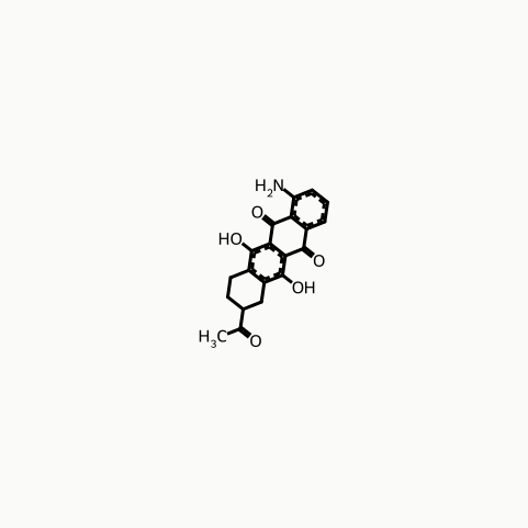 CC(=O)C1CCc2c(O)c3c(c(O)c2C1)C(=O)c1cccc(N)c1C3=O